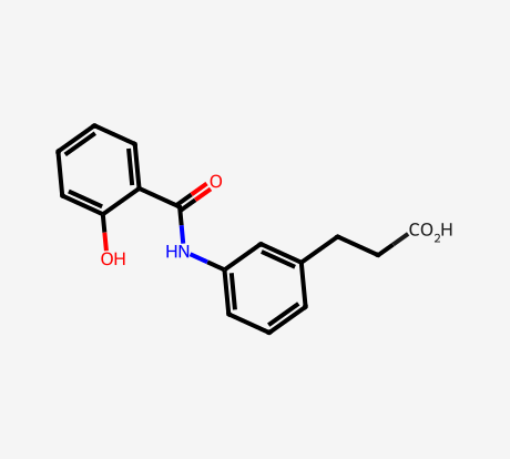 O=C(O)CCc1cccc(NC(=O)c2ccccc2O)c1